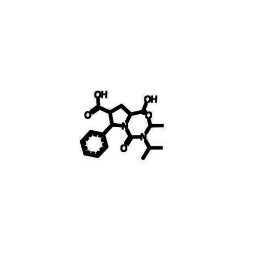 CC(C)N(C(=O)N1C(C(=O)O)CC(C(=O)O)C1c1ccccc1)C(C)C